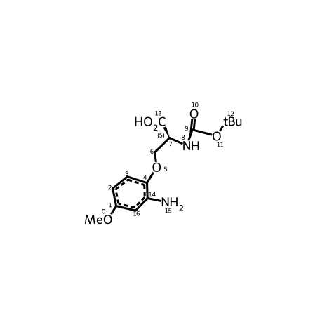 COc1ccc(OC[C@H](NC(=O)OC(C)(C)C)C(=O)O)c(N)c1